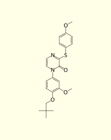 COc1ccc(Sc2nccn(-c3ccc(OCC(C)(C)C)c(OC)c3)c2=O)cc1